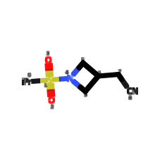 CC(C)S(=O)(=O)N1CC(CC#N)C1